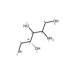 CC(C)C[C@@H](O)C(O)C(N)CO